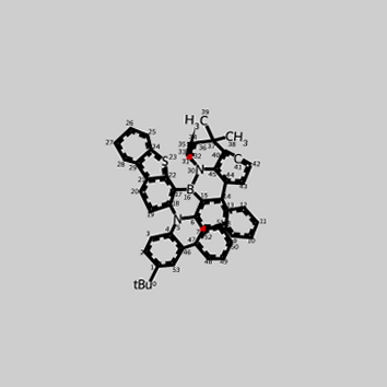 CC(C)(C)c1ccc(N2c3cc4ccccc4c4c3B(c3c2ccc2c3sc3ccccc32)N2c3ccccc3C(C)(C)c3cccc-4c32)c(-c2ccccc2)c1